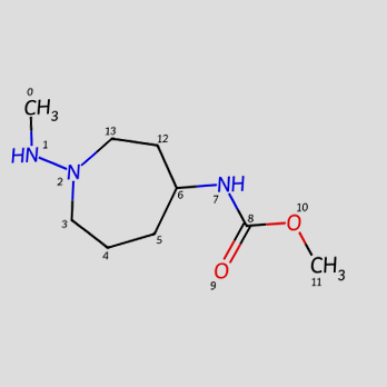 CNN1CCCC(NC(=O)OC)CC1